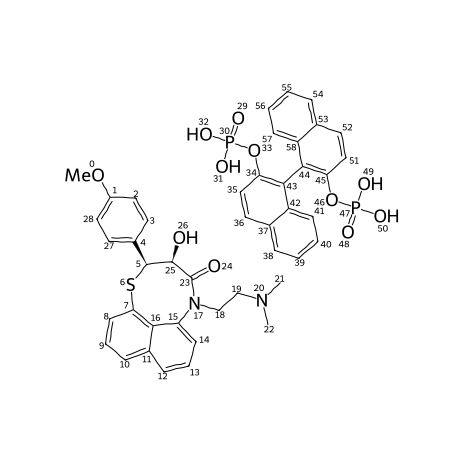 COc1ccc([C@@H]2Sc3cccc4cccc(c34)N(CCN(C)C)C(=O)[C@@H]2O)cc1.O=P(O)(O)Oc1ccc2ccccc2c1-c1c(OP(=O)(O)O)ccc2ccccc12